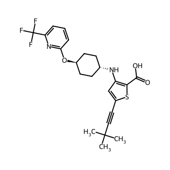 CC(C)(C)C#Cc1cc(N[C@H]2CC[C@H](Oc3cccc(C(F)(F)F)n3)CC2)c(C(=O)O)s1